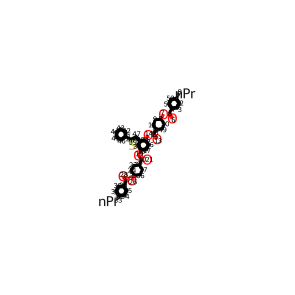 CCCc1ccc(C(=O)OC2CCC(C(=O)Oc3ccc(OC(=O)C4CCC(OC(=O)c5ccc(CCC)cc5)CC4)c4sc(-c5ccccc5)cc34)CC2)cc1